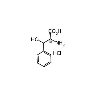 Cl.N[C@H](C(=O)O)C(O)c1ccccc1